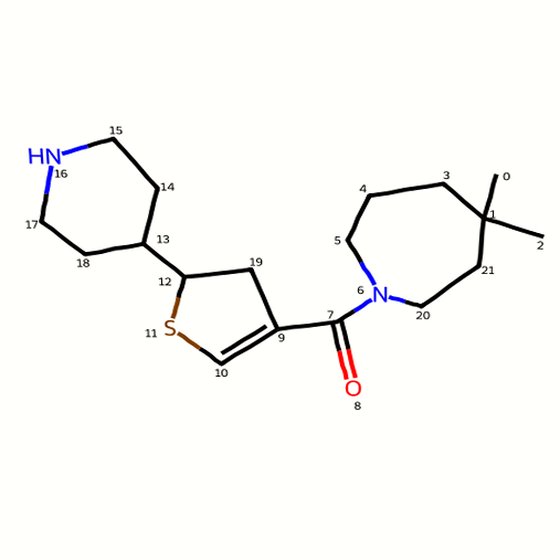 CC1(C)CCCN(C(=O)C2=CSC(C3CCNCC3)C2)CC1